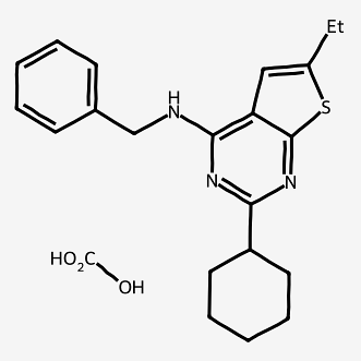 CCc1cc2c(NCc3ccccc3)nc(C3CCCCC3)nc2s1.O=C(O)O